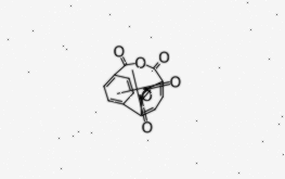 O=C1OC(=O)c2c1c1ccc2c2ccc(cc2)c(=O)oc1=O